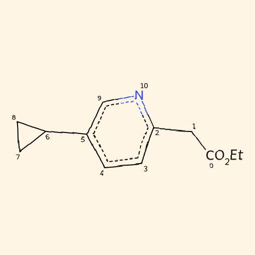 CCOC(=O)Cc1ccc(C2CC2)cn1